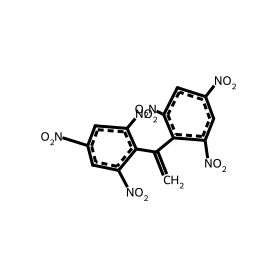 C=C(c1c([N+](=O)[O-])cc([N+](=O)[O-])cc1[N+](=O)[O-])c1c([N+](=O)[O-])cc([N+](=O)[O-])cc1[N+](=O)[O-]